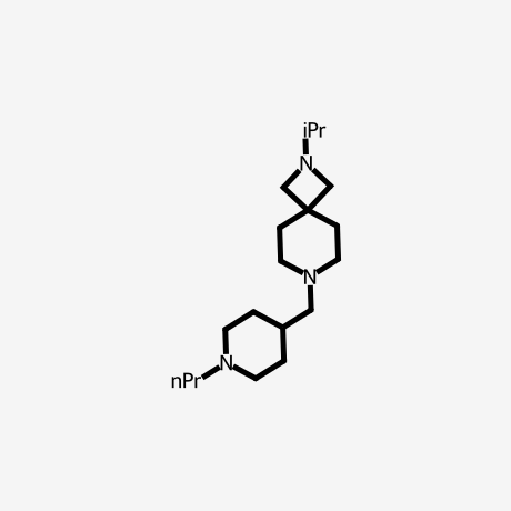 CCCN1CCC(CN2CCC3(CC2)CN(C(C)C)C3)CC1